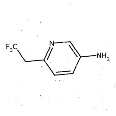 Nc1ccc(CC(F)(F)F)nc1